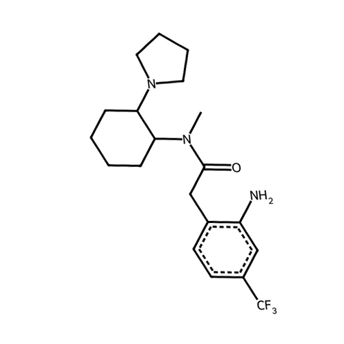 CN(C(=O)Cc1ccc(C(F)(F)F)cc1N)C1CCCCC1N1CCCC1